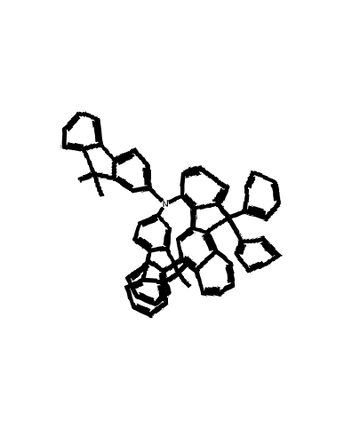 CC1(C)c2ccccc2-c2ccc(N(c3ccc4c(c3)C(C)(C)c3ccccc3-4)c3cccc4c3-c3cc(-c5ccccc5)c5ccccc5c3C4(c3ccccc3)c3ccccc3)cc21